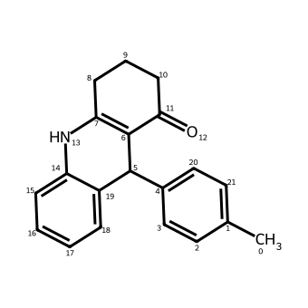 Cc1ccc(C2C3=C(CCCC3=O)Nc3ccccc32)cc1